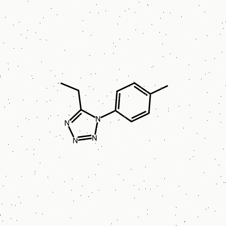 [CH2]Cc1nnnn1-c1ccc(C)cc1